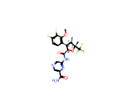 COc1c([C@H]2[C@@H](C)[C@](C)(C(F)(F)F)O[C@H]2C(=O)Nc2cncc(C(N)=O)n2)ccc(F)c1F